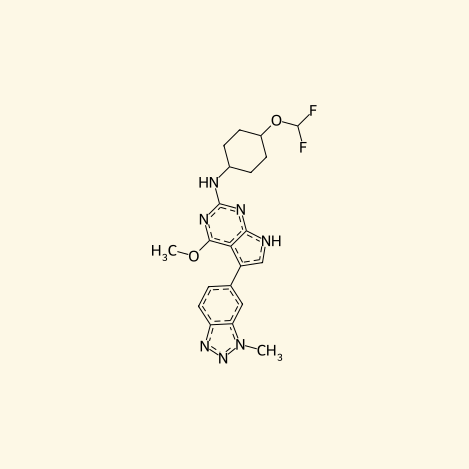 COc1nc(NC2CCC(OC(F)F)CC2)nc2[nH]cc(-c3ccc4nnn(C)c4c3)c12